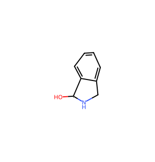 O[C]1NCc2ccccc21